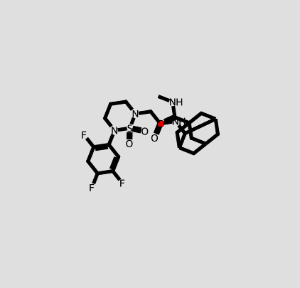 CNC(=O)C12CC3CC(C1)C(NC(=O)CN1CCCN(C4=C(F)CC(F)C(F)=C4)S1(=O)=O)C(C3)C2